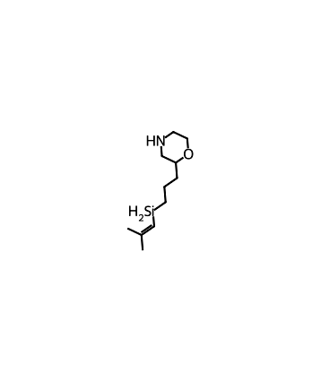 CC(C)=C[SiH2]CCCC1CNCCO1